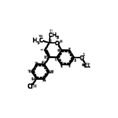 CCOc1ccc2c(c1)OC(C)(C)C=C2c1ccc(Cl)cc1